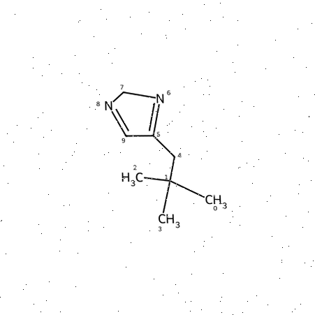 CC(C)(C)CC1=NCN=C1